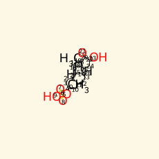 C[C@]12CC[C@H](OS(=O)(=O)O)CC1=CC[C@@H]1[C@@H]2CC[C@]2(C)C(=O)C(O)C[C@@H]12